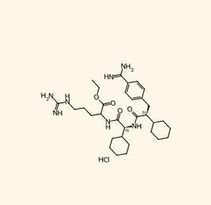 CCOC(=O)C(CCCNC(=N)N)NC(=O)[C@@H](NC(=O)[C@@H](Cc1ccc(C(=N)N)cc1)C1CCCCC1)C1CCCCC1.Cl